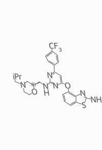 CC(=O)Nc1nc2c(Oc3cc(-c4ccc(C(F)(F)F)cc4)nc(NC[C@@H]4CN(CC(C)C)CCO4)n3)cccc2s1